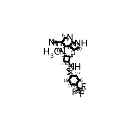 CN(c1c(C#N)cnc2[nH]ccc12)[C@H]1C[C@@H](NSc2ccc(C(F)(F)F)cc2)C1